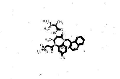 COc1ccc2ccccc2c1CN1C(=O)[C@@H](NC(=O)[C@H](C)N(C)C(=O)O)[C@H](C)N(C(=O)CS(C)(=O)=O)c2cc(C#N)ccc21